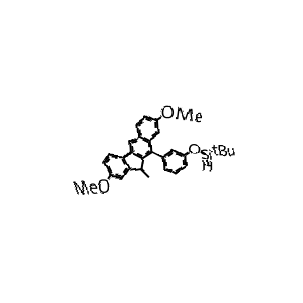 COc1ccc2c(c1)C(C)c1c-2cc2ccc(OC)cc2c1-c1cccc(O[SiH](C)C(C)(C)C)c1